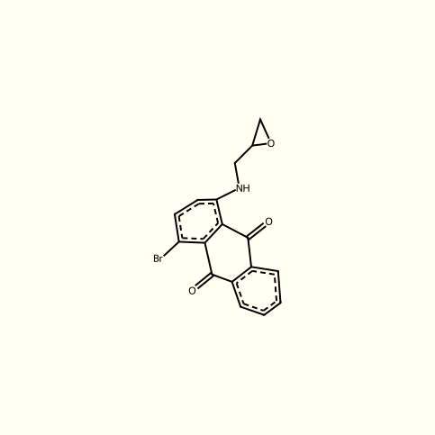 O=C1c2ccccc2C(=O)c2c(NCC3CO3)ccc(Br)c21